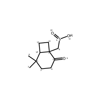 CC1(C)CCC(=O)C2(CS(=O)O)CCC12